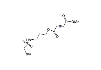 COC(=O)/C=C/C(=O)OCCCNS(=O)(=O)CC(C)(C)C